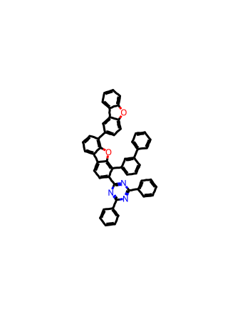 c1ccc(-c2cccc(-c3c(-c4nc(-c5ccccc5)nc(-c5ccccc5)n4)ccc4c3oc3c(-c5ccc6oc7ccccc7c6c5)cccc34)c2)cc1